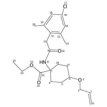 C=CCOC1CCC(NC(=O)Cc2c(C)cc(Cl)cc2C)(C(=O)OCC)CC1